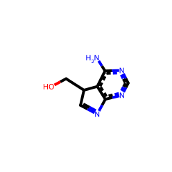 Nc1ncnc2c1C(CO)C=N2